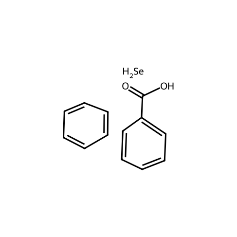 O=C(O)c1ccccc1.[SeH2].c1ccccc1